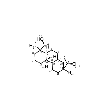 C=C1C[C@@]23CC[C@@H]4[C@@](C)(CO)CCC[C@@]4(C)[C@@H]2CC[C@@H]1C3